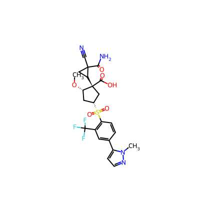 CO[C@H]1C[C@@H](S(=O)(=O)c2ccc(-c3ccnn3C)cc2C(F)(F)F)C[C@]1(C(=O)O)C1CC1(C#N)C(N)=O